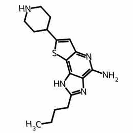 CCCCc1nc2c(N)nc3cc(C4CCNCC4)sc3c2[nH]1